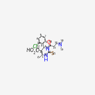 CC1=C(C(=O)O)C(c2ccccc2Cl)N(C(=O)CCN(C)C)C(=S)N1